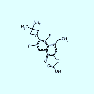 CCn1cc(OC(=O)O)c(=O)c2cc(F)c(N3CC(C)(N)C3)c(F)c21